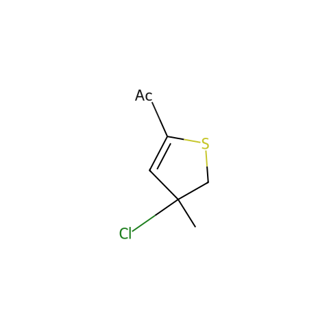 CC(=O)C1=CC(C)(Cl)CS1